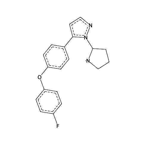 Fc1ccc(Oc2ccc(-c3ccnn3C3CCC[N]3)cc2)cc1